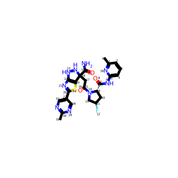 Cc1cccc(NC(=O)[C@@H]2C[C@@H](F)CN2C(=O)CC2(C(N)=O)NNc3nc(-c4cnc(C)nc4)sc32)n1